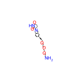 NCCOCCOCCOCC#Cc1ccc2c(c1)CN(C1CCC(=O)NC1=O)C2